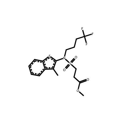 COC(=O)CCS(=O)(=O)N(CCCC(F)(F)F)c1sc2ccccc2c1C